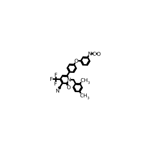 Cc1ccc(Cn2c(-c3ccc(Oc4cccc(N=C=O)c4)cc3)cc(C(F)(F)F)c(C#N)c2=O)c(C)c1